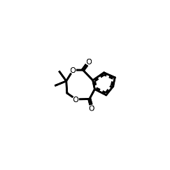 CC1(C)COC(=O)c2ccccc2C(=O)O1